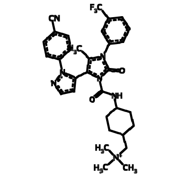 Cc1c(-c2ccnn2-c2ccc(C#N)cc2)n(C(=O)NC2CCC(C[N+](C)(C)C)CC2)c(=O)n1-c1cccc(C(F)(F)F)c1